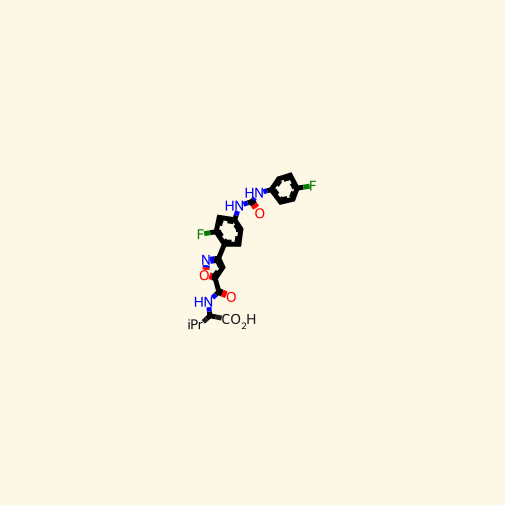 CC(C)C(NC(=O)c1cc(-c2ccc(NC(=O)Nc3ccc(F)cc3)cc2F)no1)C(=O)O